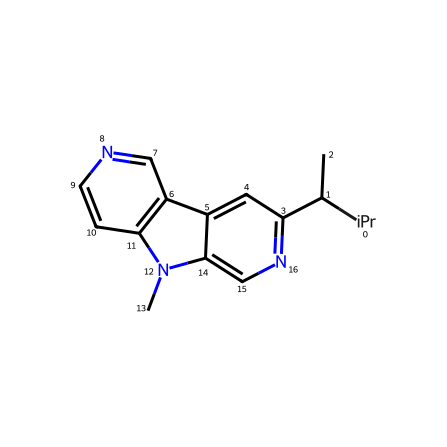 CC(C)C(C)c1cc2c3cnccc3n(C)c2cn1